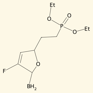 BC1OC(CCP(=O)(OCC)OCC)C=C1F